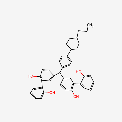 CCCC1CCC(c2ccc(C(c3ccc(O)c(-c4ccccc4O)c3)c3ccc(O)c(-c4ccccc4O)c3)cc2)CC1